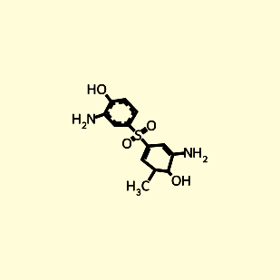 CC1C=C(S(=O)(=O)c2ccc(O)c(N)c2)C=C(N)C1O